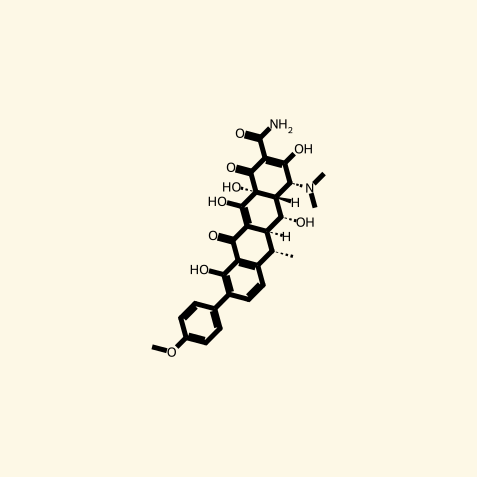 COc1ccc(-c2ccc3c(c2O)C(=O)C2=C(O)[C@@]4(O)C(=O)C(C(N)=O)=C(O)[C@H](N(C)C)[C@@H]4[C@H](O)[C@H]2[C@@H]3C)cc1